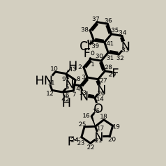 Fc1cc2c(N3[C@@H]4CC[C@H]3CNC4)nc(OC[C@@]34CCCN3C[C@H](F)C4)nc2c(F)c1-c1cncc2cccc(Cl)c12